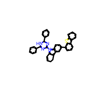 C1=Cc2c(c3cc(-c4cccc5c4sc4ccccc45)ccc3n2C2=NC(c3ccccc3)NC(c3ccccc3)=N2)CC1